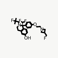 CC(C)(F)CN1CCc2cc(O)ccc2[C@]1(c1ccc(OCCN2CC(CF)C2)cc1)C(F)F